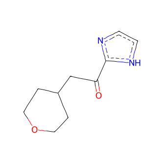 O=C(CC1CCOCC1)c1ncc[nH]1